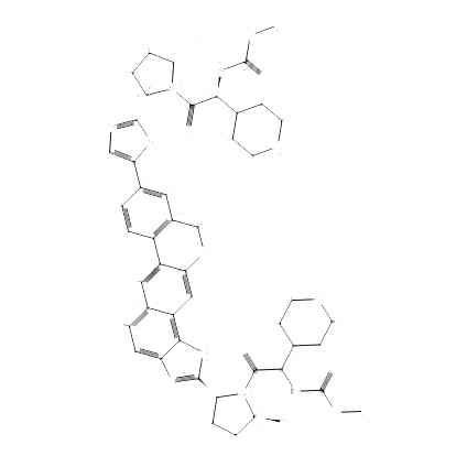 COC(=O)NC(C(=O)N1[C@@H](C)CC[C@H]1c1nc2ccc3cc4c(cc3c2[nH]1)OCc1cc(-c2cnc([C@@H]3CC[C@H](C)N3C(=O)[C@@H](NC(=O)OC)C3CCOCC3)[nH]2)ccc1-4)C1CCOCC1